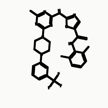 Cc1nc(Nc2ncc(C(=O)Nc3c(C)cccc3C)o2)nc(N2CCN(c3cccc(C(F)(F)F)c3)CC2)n1